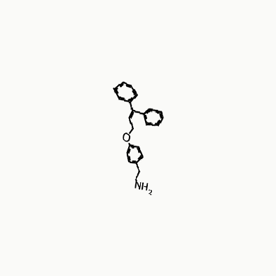 NCCc1ccc(OCC=C(c2ccccc2)c2ccccc2)cc1